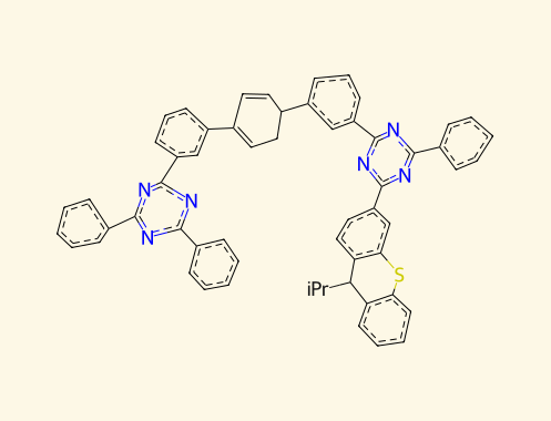 CC(C)C1c2ccccc2Sc2cc(-c3nc(-c4ccccc4)nc(-c4cccc(C5C=CC(c6cccc(-c7nc(-c8ccccc8)nc(-c8ccccc8)n7)c6)=CC5)c4)n3)ccc21